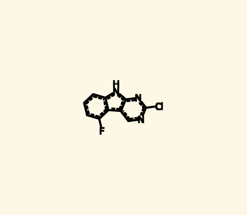 Fc1cccc2[nH]c3nc(Cl)ncc3c12